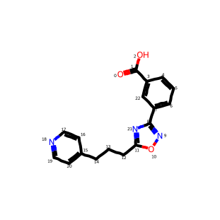 O=C(O)c1cccc(-c2noc(CCCc3ccncc3)n2)c1